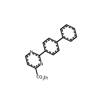 CCOC(=O)c1ccnc(-c2ccc(-c3ccccc3)cc2)n1